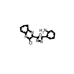 Nc1ccccc1-c1nnc(-c2nc3ccccc3nc2Cl)o1